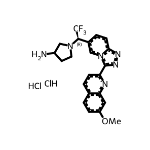 COc1ccc2ccc(-c3nnc4ccc([C@@H](N5CCC(N)C5)C(F)(F)F)cn34)nc2c1.Cl.Cl